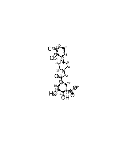 O=C(CN1CCN(c2cccc(Cl)c2Cl)CC1)c1cc(O)c(O)c([N+](=O)[O-])c1